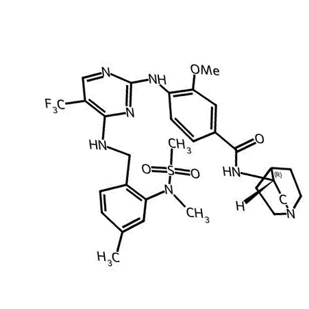 COc1cc(C(=O)N[C@H]2CN3CCC2CC3)ccc1Nc1ncc(C(F)(F)F)c(NCc2ccc(C)cc2N(C)S(C)(=O)=O)n1